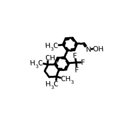 Cc1ccc(C=NO)cc1-c1cc2c(cc1C(F)(F)F)C(C)(C)CCC2(C)C